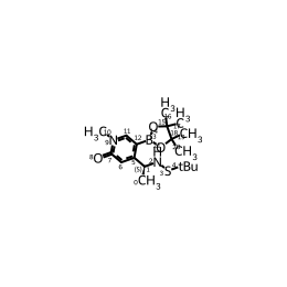 C[C@H](NSC(C)(C)C)c1cc(=O)n(C)cc1B1OC(C)(C)C(C)(C)O1